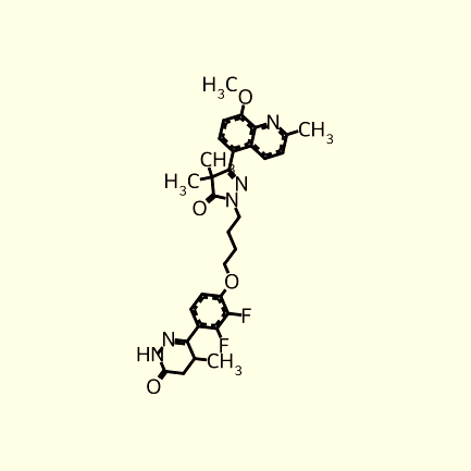 COc1ccc(C2=NN(CCCCOc3ccc(C4=NNC(=O)CC4C)c(F)c3F)C(=O)C2(C)C)c2ccc(C)nc12